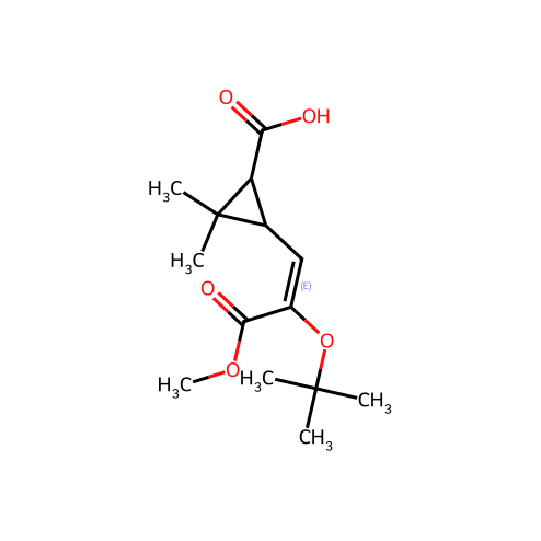 COC(=O)/C(=C\C1C(C(=O)O)C1(C)C)OC(C)(C)C